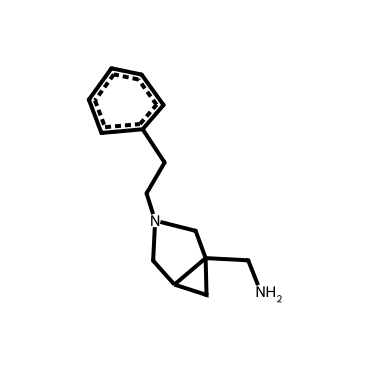 NCC12CC1CN(CCc1ccccc1)C2